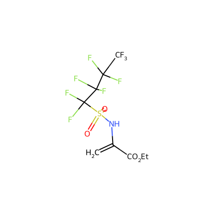 C=C(NS(=O)(=O)C(F)(F)C(F)(F)C(F)(F)C(F)(F)F)C(=O)OCC